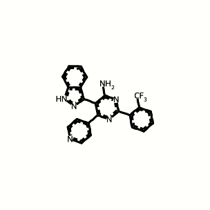 Nc1nc(-c2ccccc2C(F)(F)F)nc(-c2ccncc2)c1-c1n[nH]c2ccccc12